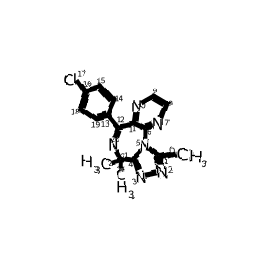 Cc1nnc2n1-c1nccnc1C(c1ccc(Cl)cc1)=NC2(C)C